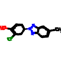 Cc1ccc2nn(-c3ccc(O)c(Cl)c3)nc2c1